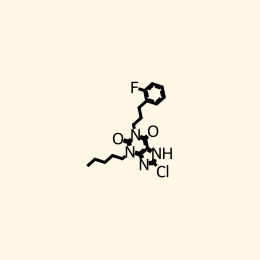 CCCCCn1c(=O)n(CCCc2ccccc2F)c(=O)c2[nH]c(Cl)nc21